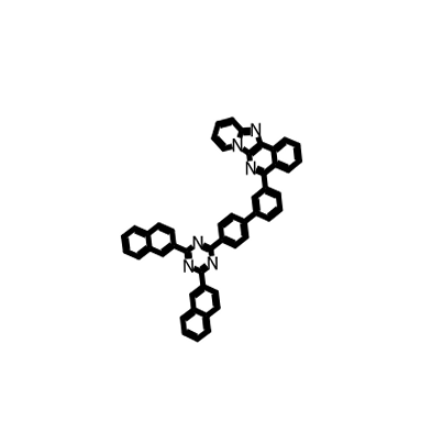 c1cc(-c2ccc(-c3nc(-c4ccc5ccccc5c4)nc(-c4ccc5ccccc5c4)n3)cc2)cc(-c2nc3c(nc4ccccn43)c3ccccc23)c1